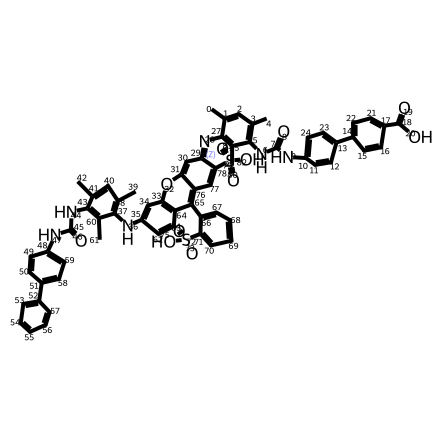 Cc1cc(C)c(NC(=O)Nc2ccc(-c3ccc(C(=O)O)cc3)cc2)c(C)c1/N=c1/cc2oc3cc(Nc4c(C)cc(C)c(NC(=O)Nc5ccc(-c6ccccc6)cc5)c4C)ccc3c(-c3ccccc3S(=O)(=O)O)c-2cc1S(=O)(=O)O